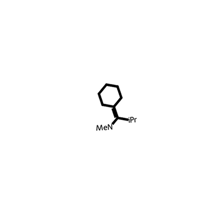 CNC(=C1CCCCC1)C(C)C